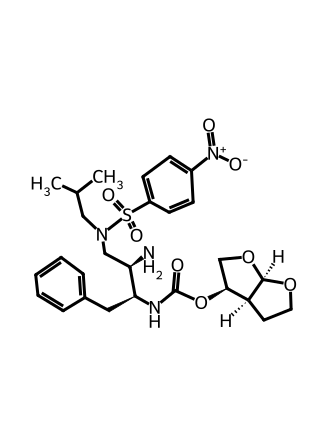 CC(C)CN(C[C@@H](N)[C@H](Cc1ccccc1)NC(=O)O[C@H]1CO[C@H]2OCC[C@H]21)S(=O)(=O)c1ccc([N+](=O)[O-])cc1